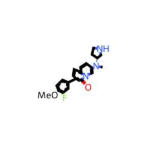 COc1ccc(C2=C\C(=O)N3C=C(N(C)[C@@H]4CCNC4)C=C\C3=C/C=C/2)cc1F